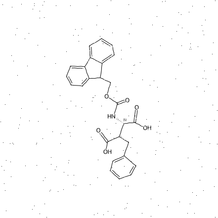 O=C(N[C@H](C(=O)O)C(Cc1ccccc1)C(=O)O)OCC1c2ccccc2-c2ccccc21